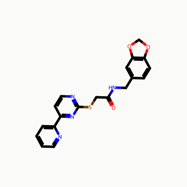 O=C(CSc1nccc(-c2ccccn2)n1)NCc1ccc2c(c1)OCO2